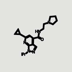 CC(C)n1ncc2c(C(=O)NCCN3CCCC3)cc(C3CC3)nc21